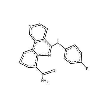 NC(=O)c1cccc2c1nc(Nc1ccc(F)cc1)c1ccncc12